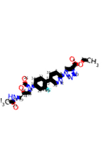 CCOC(=O)c1cn(-c2ccc(-c3ccc(N4C[C@H](CNC(C)=O)OC4=O)cc3F)cn2)nn1